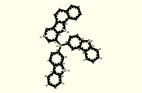 c1ccc2c(c1)ccc1c3cncc(N(c4ccc5c(c4)oc4ccccc45)c4ccc5sc6ccccc6c5c4)c3oc21